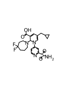 NS(=O)(=O)c1cc(N2C=C(CC3CC3)C=C(C(=O)O)C2N2CCCC(F)(F)CC2)ccn1